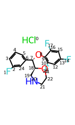 Cl.Fc1cccc([C@H](Oc2c(F)cc(F)cc2F)[C@@H]2CNCCO2)c1